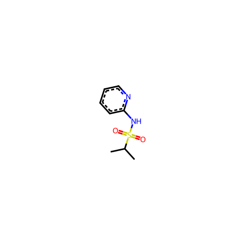 CC(C)S(=O)(=O)Nc1ccccn1